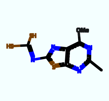 COc1nc(C)nc2sc(N=C(S)S)nc12